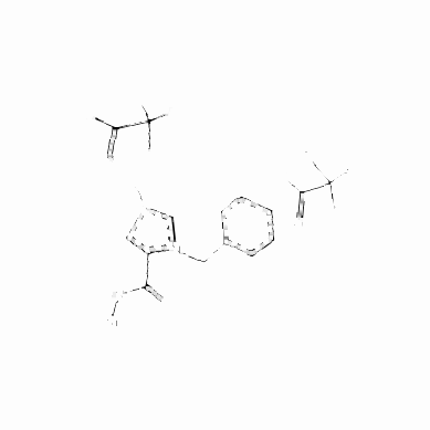 C[n+]1cc(C(=O)NN)n(Cc2ccccc2)c1.O=C(O)C(F)(F)F.O=C([O-])C(F)(F)F